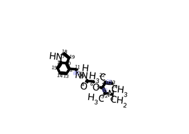 C=N/C(C)=C(OCC(=O)N/N=C/c1cccc2[nH]ccc12)\C(C)=C/C